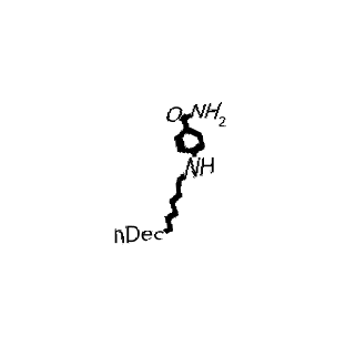 CCCCCCCCCCCCCCCCNc1ccc(C(N)=O)cc1